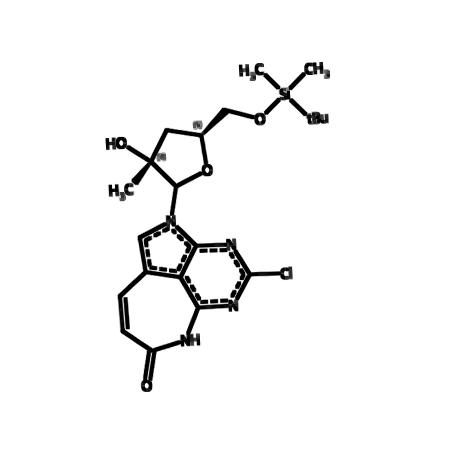 CC(C)(C)[Si](C)(C)OC[C@@H]1C[C@@](C)(O)C(n2cc3c4c(nc(Cl)nc42)NC(=O)C=C3)O1